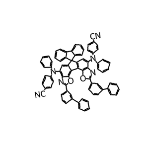 N#Cc1ccc(N(c2ccccc2)c2cc3c(c4oc(-c5cccc(-c6ccccc6)c5)nc24)-c2c(cc(N(c4ccccc4)c4ccc(C#N)cc4)c4nc(-c5cccc(-c6ccccc6)c5)oc24)C32c3ccccc3-c3ccccc32)cc1